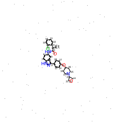 CC[C@@H](C(=O)Nc1ccc2[nH]nc(-c3ccc(OC4CCN(C5COC5)CC4)cc3)c2c1)c1ccccc1Cl